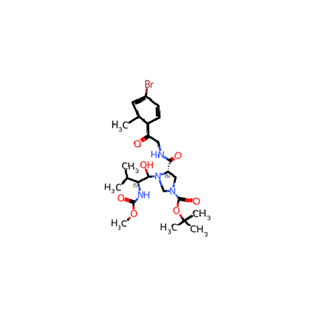 COC(=O)N[C@@H](C(C)C)C(O)N1CN(C(=O)OC(C)(C)C)C[C@H]1C(=O)NCC(=O)C1C=CC(Br)=CC1C